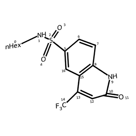 CCCCCCNS(=O)(=O)c1ccc2[nH]c(=O)cc(C(F)(F)F)c2c1